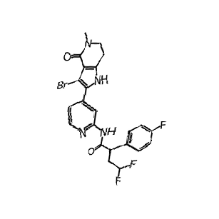 CN1CCc2[nH]c(-c3ccnc(NC(=O)C(CC(F)F)c4ccc(F)cc4)c3)c(Br)c2C1=O